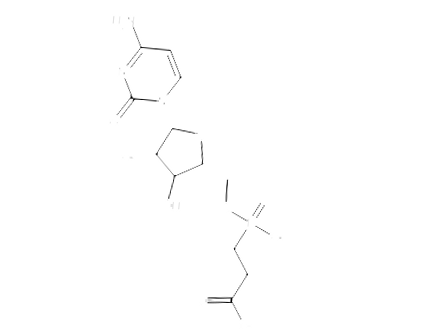 Nc1ccn([C@@H]2O[C@H](COP(=O)(O)CCC(=O)O)C(O)[C@@H]2O)c(=O)n1